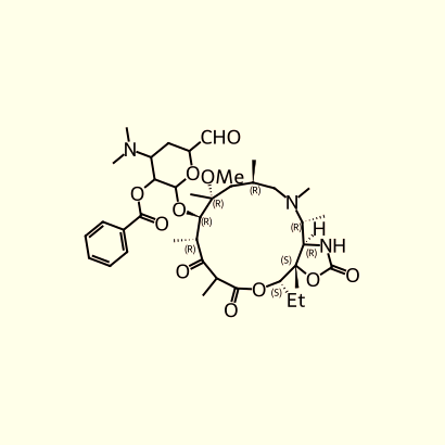 CC[C@@H]1OC(=O)C(C)C(=O)[C@H](C)[C@@H](OC2OC(C=O)CC(N(C)C)C2OC(=O)c2ccccc2)[C@](C)(OC)C[C@@H](C)CN(C)[C@H](C)[C@H]2NC(=O)O[C@]12C